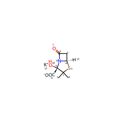 CC1(C)S[C@@H]2CC(=O)N2[C@]1(O)C(=O)[O-].[K+]